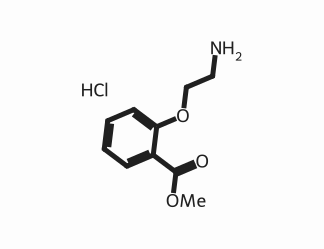 COC(=O)c1ccccc1OCCN.Cl